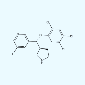 Fc1cncc([C@H](Oc2cc(Cl)c(Cl)cc2Cl)[C@H]2CCNC2)c1